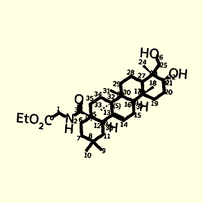 CCOC(=O)CNC(=O)[C@]12CCC(C)(C)C[C@@H]1C1=CC[C@@H]3[C@@]4(C)CC[C@H](O)[C@@](C)(CO)C4CC[C@@]3(C)[C@]1(C)CC2